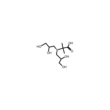 CC(C)(C(=O)O)N(CC(O)CO)CC(O)CO